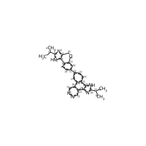 CC(C)c1nc2c([nH]1)-c1ccc(-c3ccc4c(c3)c3cnncc3c3nc(C(C)C)[nH]c43)cc1OC2